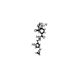 O=C(NOC[C@H]1C[C@H](CN2CC2)CN1)[C@@H]1CC[C@@H]2CN1C(=O)N2OS(=O)(=O)O